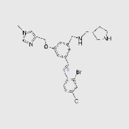 Cn1cnc(COc2cc(/C=C/c3ccc(Cl)cc3Br)cc(CNCC3CCNC3)c2)c1